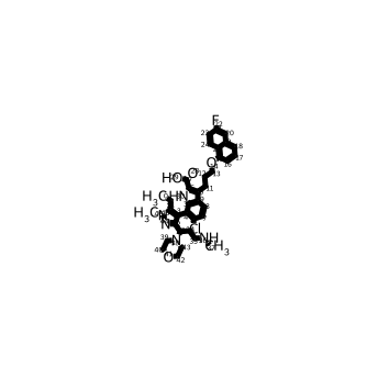 CCc1c(-c2c(Cl)ccc3c(CCCOc4cccc5cc(F)ccc45)c(C(=O)O)[nH]c23)c(C(CCNC)N2CCOCC2)nn1C